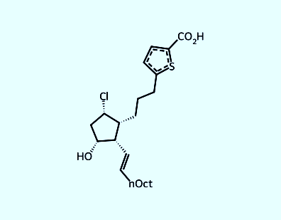 CCCCCCCCC=C[C@H]1[C@@H](CCCc2ccc(C(=O)O)s2)[C@@H](Cl)C[C@H]1O